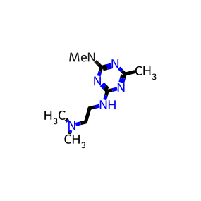 CNc1nc(C)nc(NCCN(C)C)n1